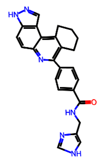 O=C(NCc1c[nH]cn1)c1ccc(-c2nc3ccc4[nH]ncc4c3c3c2CCCC3)cc1